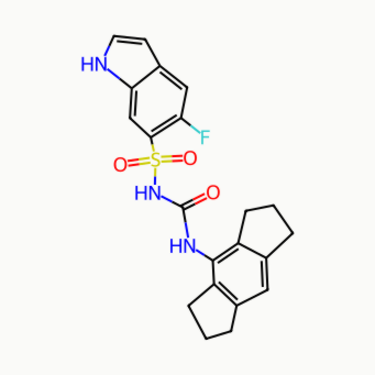 O=C(Nc1c2c(cc3c1CCC3)CCC2)NS(=O)(=O)c1cc2[nH]ccc2cc1F